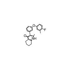 Cc1cc(Oc2cccc(-c3c(C)[nH]c4c(c3=O)CCCC4)c2)ccc1F